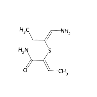 C/C=C(\S/C(=C\N)CC)C(N)=O